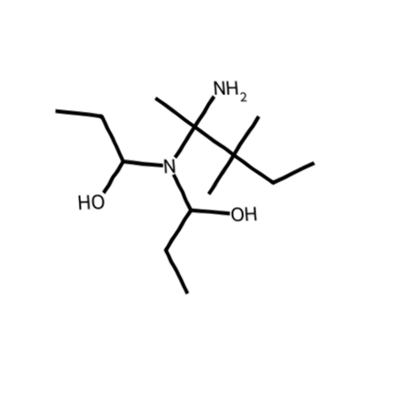 CCC(O)N(C(O)CC)C(C)(N)C(C)(C)CC